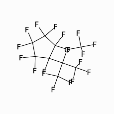 FC(F)(F)OC(C(F)(F)F)(C(F)(F)F)C1(F)C(F)(F)C(F)(F)C(F)(F)C1(F)F